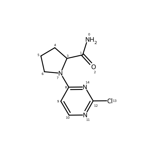 NC(=O)C1CCCN1c1ccnc(Cl)n1